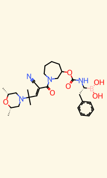 C[C@@H]1CN(C(C)(C)C=C(C#N)C(=O)N2CCCCC(OC(=O)N[C@@H](Cc3ccccc3)B(O)O)C2)C[C@H](C)O1